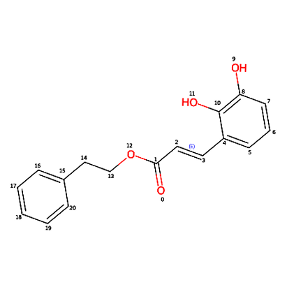 O=C(/C=C/c1cccc(O)c1O)OCCc1ccccc1